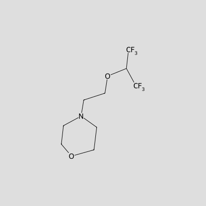 FC(F)(F)C(OCCN1CCOCC1)C(F)(F)F